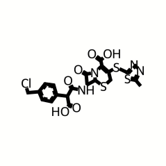 Cc1nnc(SC2=C(C(=O)O)N3C(=O)C(NC(=O)C(C(=O)O)c4ccc(CCl)cc4)C3SC2)s1